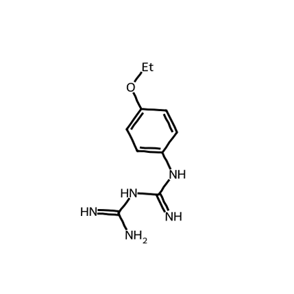 CCOc1ccc(NC(=N)NC(=N)N)cc1